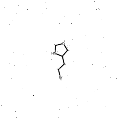 BrCCC1COCN1